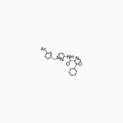 CC(=O)c1ccc(Cn2ccc(NC(=O)c3ncoc3-c3ccccc3)n2)s1